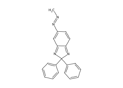 C/N=N/c1ccc2c(c1)=NC(c1ccccc1)(c1ccccc1)N=2